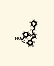 O=C(O)c1cccc(-n2c(CCc3ccccc3)ccc2-c2ccccc2)c1